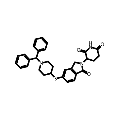 O=C1CCC(N2Cc3cc(SC4CCN(C(c5ccccc5)c5ccccc5)CC4)ccc3C2=O)C(=O)N1